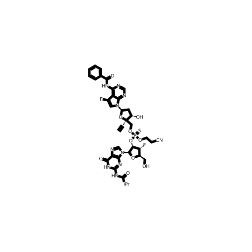 C#C[C@]1(COP(=S)(OCCC#N)O[C@@H]2[C@H](F)[C@@H](CO)O[C@H]2n2cnc3c(=O)[nH]c(NC(=O)C(C)C)nc32)O[C@@H](n2cc(F)c3c(NC(=O)c4ccccc4)ncnc32)C[C@@H]1O